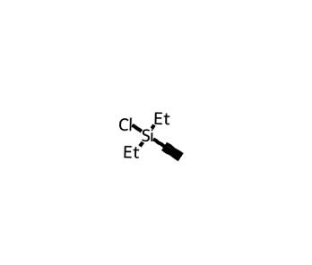 C#C[Si](Cl)(CC)CC